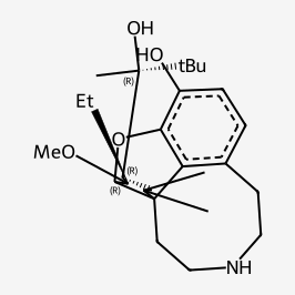 CC[C@]1(OC)C2Oc3c(O)ccc4c3C2(CCNCC4)C(C)(C)C[C@@H]1[C@@](C)(O)C(C)(C)C